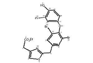 CCOC(=O)Cc1csc(Cc2cc(Br)c(Oc3ccc(O)c(C(C)C)c3)c(Br)c2)n1